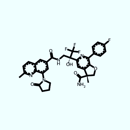 Cc1ccc2cc(C(=O)NC[C@](O)(c3cc4c(c(-c5ccc(F)cc5)n3)OC[C@]4(C)C(N)=O)C(F)(F)F)cc(N3CCCC3=O)c2n1